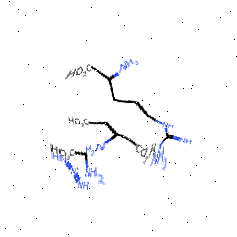 N=C(N)NCCCC(N)C(=O)O.N=[N+]=N.NC(CC(=O)O)C(=O)O.NCC(=O)O